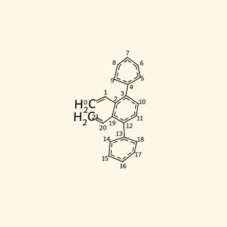 C=Cc1c(-c2ccccc2)ccc(-c2ccccc2)c1C=C